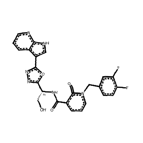 O=C(N[C@H](CO)c1nnc(-c2c[nH]c3ncccc23)o1)c1cccn(Cc2ccc(F)c(F)c2)c1=O